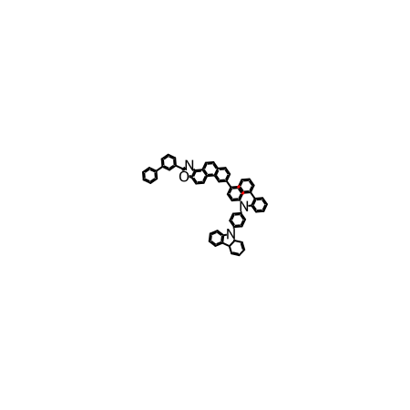 C1=CC2c3ccccc3N(c3ccc(N(c4ccc(-c5ccc6ccc7c(ccc8oc(-c9cccc(-c%10ccccc%10)c9)nc87)c6c5)cc4)c4ccccc4-c4ccccc4)cc3)C2C=C1